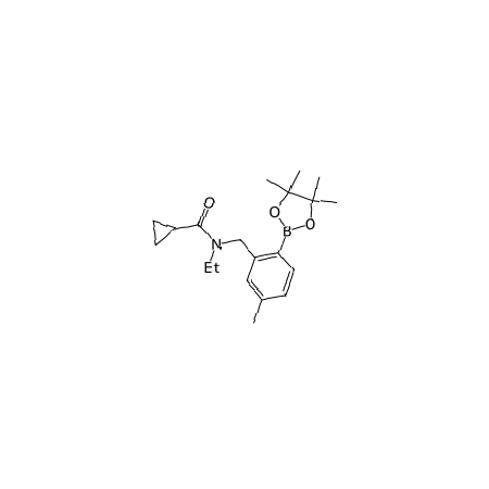 CCN(Cc1cc(C)ccc1B1OC(C)(C)C(C)(C)O1)C(=O)C1CC1